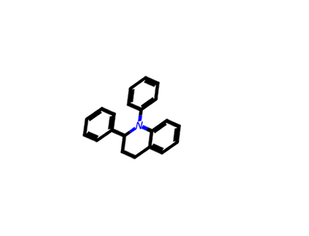 c1ccc(C2CCc3ccccc3N2c2ccccc2)cc1